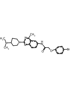 Cc1nc(N2CCC(N(C)C)CC2)nc2ccc(NC(=O)COc3ccc(Br)cc3)cc12